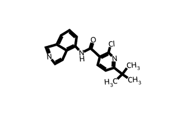 CC(C)(C)c1ccc(C(=O)Nc2cccc3cnccc23)c(Cl)n1